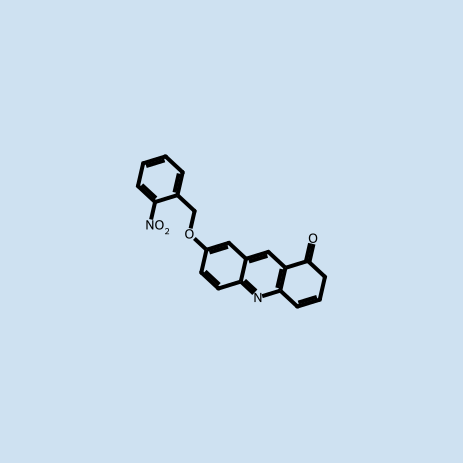 O=C1CC=Cc2nc3ccc(OCc4ccccc4[N+](=O)[O-])cc3cc21